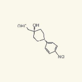 O=CC[C@]1(O)CC[C@@H](c2ccc(N=O)cc2)CC1